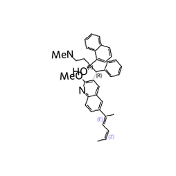 C/C=C\C=C(/C)c1ccc2nc(OC)c([C@@H](c3ccccc3)[C@](O)(CCNC)c3cccc4ccccc34)cc2c1